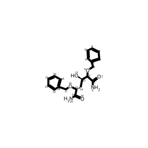 NC(=O)C(OCc1ccccc1)[C@H](O)C[C@@H](OCc1ccccc1)C(N)=O